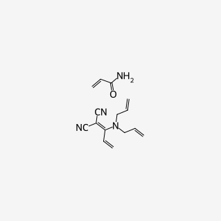 C=CC(N)=O.C=CCN(CC=C)C(C=C)=C(C#N)C#N